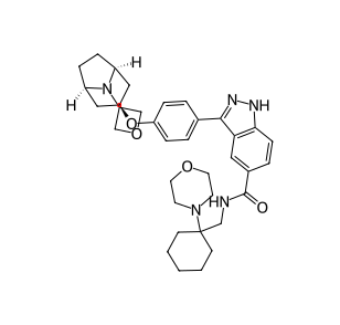 O=C(NCC1(N2CCOCC2)CCCCC1)c1ccc2[nH]nc(-c3ccc(O[C@H]4C[C@H]5CC[C@@H](C4)N5C4COC4)cc3)c2c1